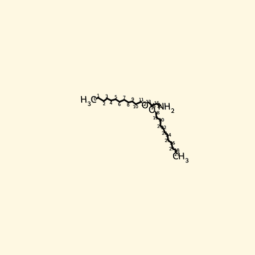 CCCCCCCCCCCCOCC(CN)OCCCCCCCCCCCC